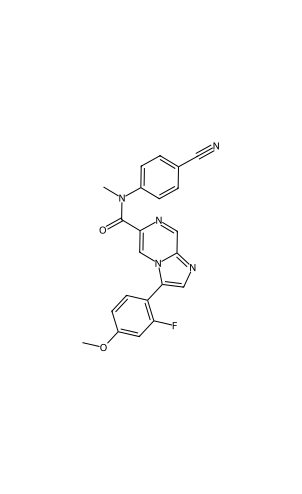 COc1ccc(-c2cnc3cnc(C(=O)N(C)c4ccc(C#N)cc4)cn23)c(F)c1